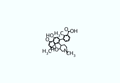 Cc1cc(=O)c2c(O)cc(-c3cccc(C(=O)O)c3C)c(C3CCN(C)CC3O)c2o1